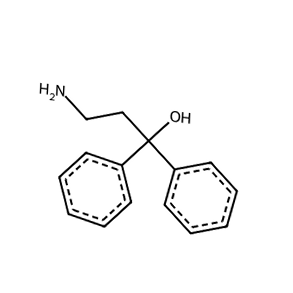 NCCC(O)(c1ccccc1)c1ccccc1